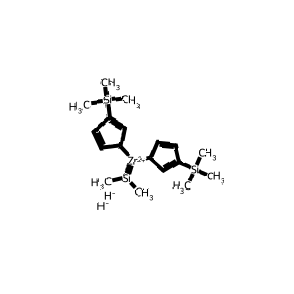 C[Si](C)=[Zr+2]([CH]1C=CC([Si](C)(C)C)=C1)[CH]1C=CC([Si](C)(C)C)=C1.[H-].[H-]